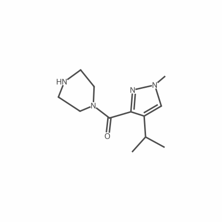 CC(C)c1cn(C)nc1C(=O)N1CCNCC1